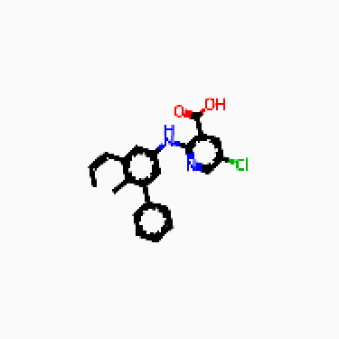 C/C=C\c1cc(Nc2ncc(Cl)cc2C(=O)O)cc(-c2ccccc2)c1C